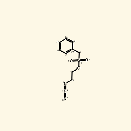 [N-]=[N+]=NCCOS(=O)(=O)Cc1ccccc1